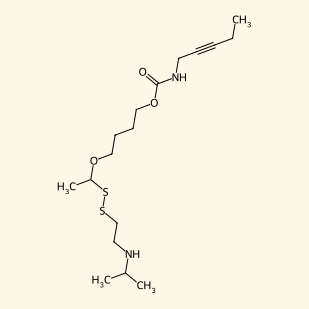 CCC#CCNC(=O)OCCCCOC(C)SSCCNC(C)C